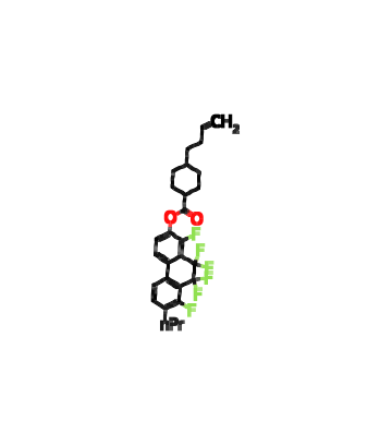 C=CCCC1CCC(C(=O)Oc2ccc3c(c2F)C(F)(F)C(F)(F)c2c-3ccc(CCC)c2F)CC1